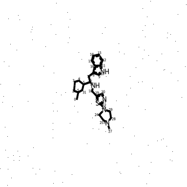 CC1CCCC(C(Cc2c[nH]c3ccccc23)NCc2cnc(N3CCN(C)CC3)s2)C1